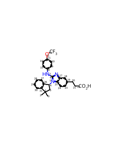 CC1(C)C[C@H](n2c(Nc3ccc(OC(F)(F)F)cc3)nc3cc(CCC(=O)O)ccc32)c2ccccc21